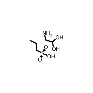 CCCS(=O)(=O)O.NCC(O)O